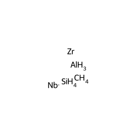 C.[AlH3].[Nb].[SiH4].[Zr]